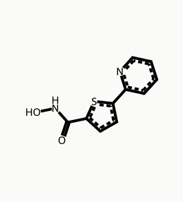 O=C(NO)c1ccc(-c2ccccn2)s1